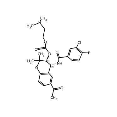 CC(=O)c1ccc2c(c1)[C@@H](NC(=O)c1ccc(F)c(Cl)c1)[C@H](OC(=O)OCCN(C)C)C(C)(C)O2